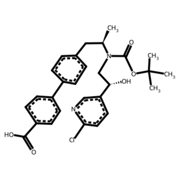 C[C@H](Cc1ccc(-c2ccc(C(=O)O)cc2)cc1)N(C[C@H](O)c1ccc(Cl)nc1)C(=O)OC(C)(C)C